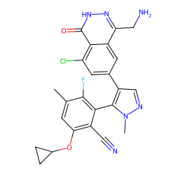 Cc1cc(OC2CC2)c(C#N)c(-c2c(-c3cc(Cl)c4c(=O)[nH]nc(CN)c4c3)cnn2C)c1F